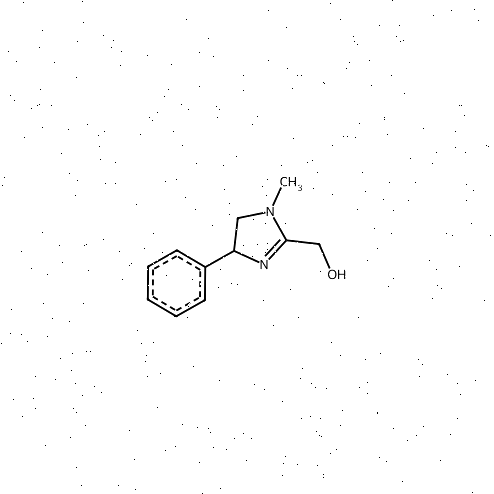 CN1CC(c2ccccc2)N=C1CO